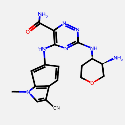 Cn1cc(C#N)c2ccc(Nc3nc(N[C@@H]4CCOC[C@@H]4N)nnc3C(N)=O)cc21